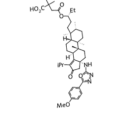 CC[C@H](CC[C@@]1(C)[C@H](C)CC[C@]2(C)[C@@H]1CC[C@@H]1C3=C(C(C)C)C(=O)C[C@]3(Nc3nnc(-c4ccc(OC)cc4)o3)CC[C@]12C)OC(=O)CC(C)(C)C(=O)O